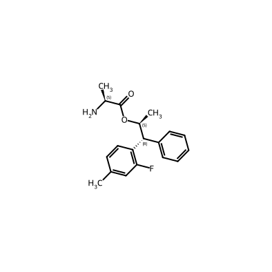 Cc1ccc([C@@H](c2ccccc2)[C@H](C)OC(=O)[C@H](C)N)c(F)c1